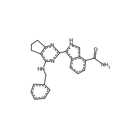 NC(=O)c1cccc2c(-c3nc4c(c(NCc5ccccc5)n3)CCC4)[nH]cc12